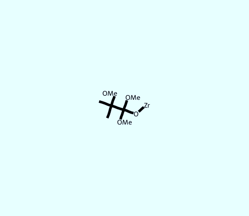 COC(C)(C)C(OC)(OC)[O][Zr]